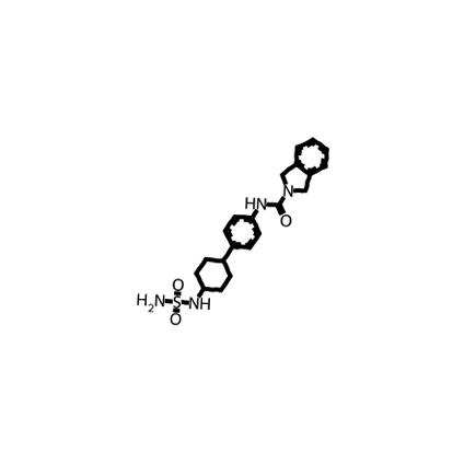 NS(=O)(=O)NC1CCC(c2ccc(NC(=O)N3Cc4ccccc4C3)cc2)CC1